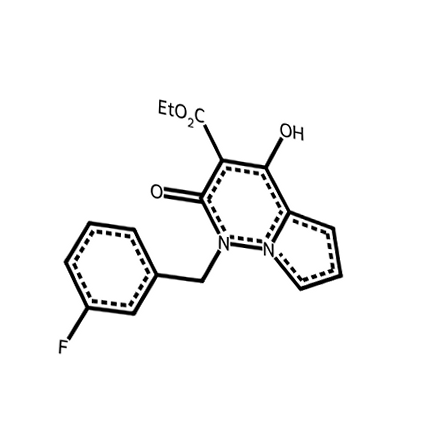 CCOC(=O)c1c(O)c2cccn2n(Cc2cccc(F)c2)c1=O